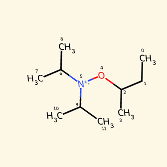 CCC(C)O[N+](C(C)C)C(C)C